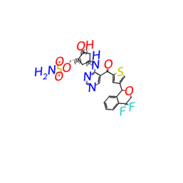 NS(=O)(=O)OC[C@H]1C[C@@H](Nc2ncncc2C(=O)c2cc(C3OCC(F)(F)c4ccccc43)cs2)C[C@@H]1O